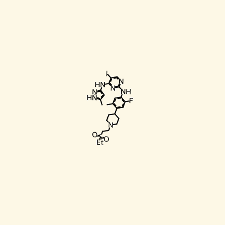 CCS(=O)(=O)CCN1CCC(c2cc(F)c(Nc3ncc(I)c(Nc4cc(C)[nH]n4)n3)cc2C)CC1